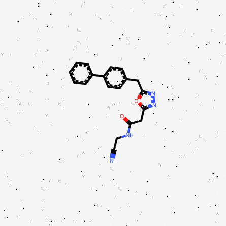 N#CCNC(=O)Cc1nnc(Cc2ccc(-c3ccccc3)cc2)o1